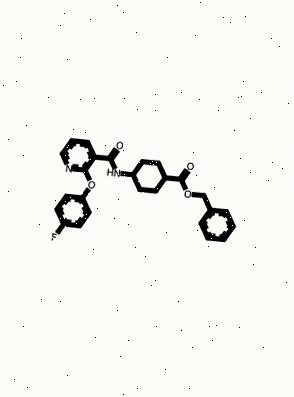 O=C(NC1CCC(C(=O)OCc2ccccc2)CC1)c1cccnc1Oc1ccc(F)cc1